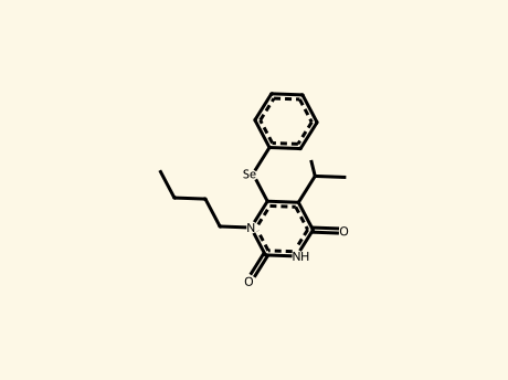 CCCCn1c([Se]c2ccccc2)c(C(C)C)c(=O)[nH]c1=O